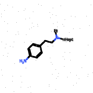 CCCCCCCN(CC)CCc1ccc(N)cc1